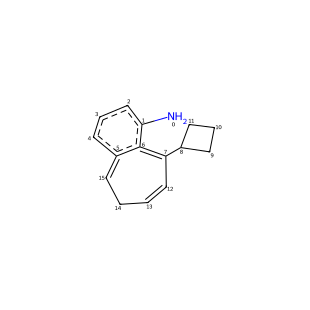 Nc1cccc2c1=C(C1CCC1)C=CCC=2